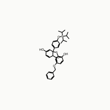 CC(=O)C1C=CC(O)=CC1(Sc1cc(OCc2ccccc2)ccc1O)c1ccc(O[Si](C(C)C)(C(C)C)C(C)C)cc1